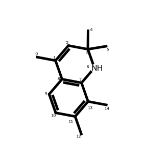 CC1=CC(C)(C)Nc2c1ccc(C)c2C